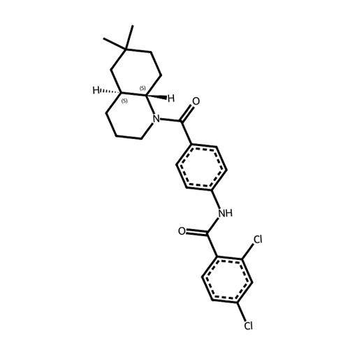 CC1(C)CC[C@H]2[C@@H](CCCN2C(=O)c2ccc(NC(=O)c3ccc(Cl)cc3Cl)cc2)C1